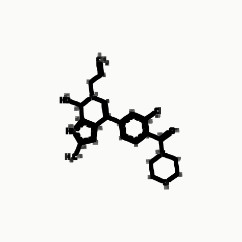 C=CCN1C=C(c2ccc(C(=O)N3CCOCC3)c(Cl)c2)c2cc(C)[nH]c2C1O